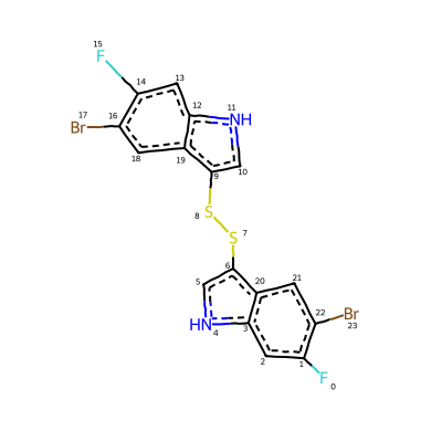 Fc1cc2[nH]cc(SSc3c[nH]c4cc(F)c(Br)cc34)c2cc1Br